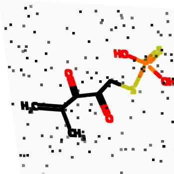 C=C(C)C(=O)C(=O)CSP(O)(O)=S